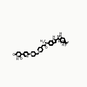 CN(C(=O)CC1CCN(CC2CCN(c3ccc(C4CCC(=O)NC4=O)cn3)CC2)CC1)c1ccc2cc(-c3n[nH]c4c3C[C@@H]3C(F)(F)C3(C)C4)[nH]c2c1